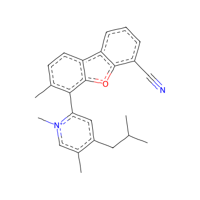 Cc1c[n+](C)c(-c2c(C)ccc3c2oc2c(C#N)cccc23)cc1CC(C)C